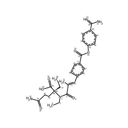 CCN(C(=O)/C(C)=C/c1ccc(C(=O)Oc2ccc(C(=N)N)cc2)cc1)[C@](CC)(CCC(N)=O)C(=O)O